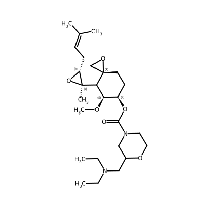 CCN(CC)CC1CN(C(=O)O[C@@H]2CC[C@]3(CO3)C([C@@]3(C)O[C@@H]3CC=C(C)C)[C@@H]2OC)CCO1